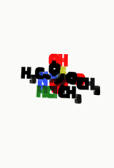 CNCCN1C(=O)[C@@H](OC(C)=O)[C@@H](c2ccc(OC)cc2)Sc2cc(O)ccc21.Cl